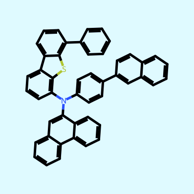 c1ccc(-c2cccc3c2sc2c(N(c4ccc(-c5ccc6ccccc6c5)cc4)c4cc5ccccc5c5ccccc45)cccc23)cc1